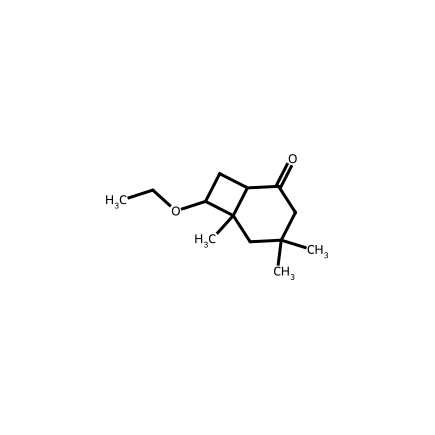 CCOC1CC2C(=O)CC(C)(C)CC12C